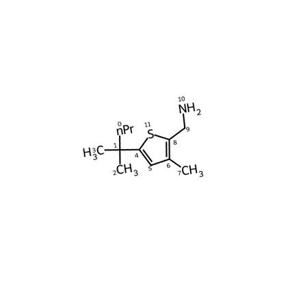 CCCC(C)(C)c1cc(C)c(CN)s1